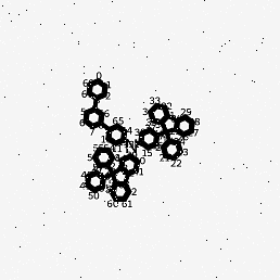 c1ccc(-c2cccc(-c3ccc(N(c4ccc(C5(c6ccccc6)c6ccccc6-c6ccccc65)cc4)c4ccc5c(c4)C(c4ccccc4)(c4ccccc4)c4ccccc4-5)cc3)c2)cc1